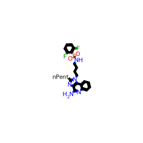 CCCCCc1nc2c(N)nc3ccccc3c2n1CCCCNS(=O)(=O)c1c(F)cccc1F